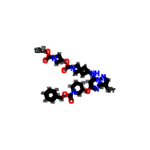 CC(C)c1cnn2c(NC3CC4(C3)CN(C(=O)OC3CN(C(=O)OC(C)(C)C)C3)C4)cc(O[C@@H]3CCCN(C(=O)OCc4ccccc4)C3)nc12